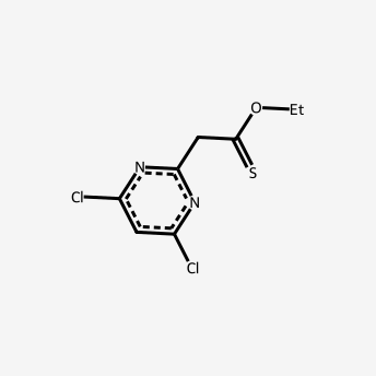 CCOC(=S)Cc1nc(Cl)cc(Cl)n1